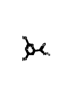 NC(=O)c1cc(O)nc(O)n1